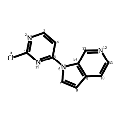 Clc1nccc(-n2ccc3ccncc32)n1